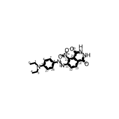 CCN(CC)c1ccc(N=Nc2ccc3c(=O)[nH][nH]c(=O)c3c2[N+](=O)[O-])cc1